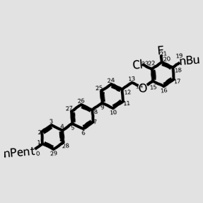 CCCCCc1ccc(-c2ccc(-c3ccc(COc4ccc(CCCC)c(F)c4Cl)cc3)cc2)cc1